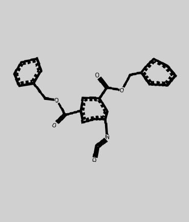 O=C=Nc1cc(C(=O)OCc2ccccc2)cc(C(=O)OCc2ccccc2)c1